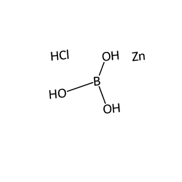 Cl.OB(O)O.[Zn]